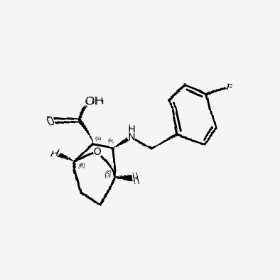 O=C(O)[C@H]1[C@@H](NCc2ccc(F)cc2)[C@@H]2CC[C@H]1O2